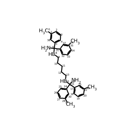 Cc1cccc(C(N)(BCCCCCBC(N)(c2cccc(C)c2)c2cccc(C)c2)c2cccc(C)c2)c1